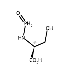 O=[PH2]N[C@@H](CO)C(=O)O